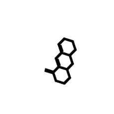 C=C1CCCC2CC3CCCC=C3C=C12